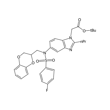 CCCc1nc2cc(N(CC3COc4ccccc4O3)S(=O)(=O)c3ccc(F)cc3)ccc2n1CC(=O)OC(C)(C)C